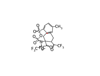 Cc1ccc(S(=O)(=O)OS(=O)(=O)N(C(=O)C(F)(F)F)C2(C(=O)C(F)(F)F)CCCCC2C(=O)C(F)(F)F)cc1